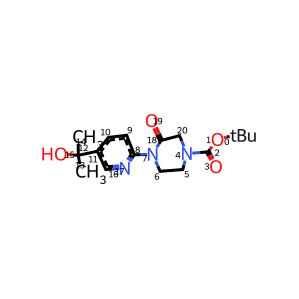 CC(C)(C)OC(=O)N1CCN(c2ccc(C(C)(C)O)cn2)C(=O)C1